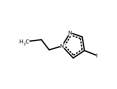 CCCn1cc(I)cn1